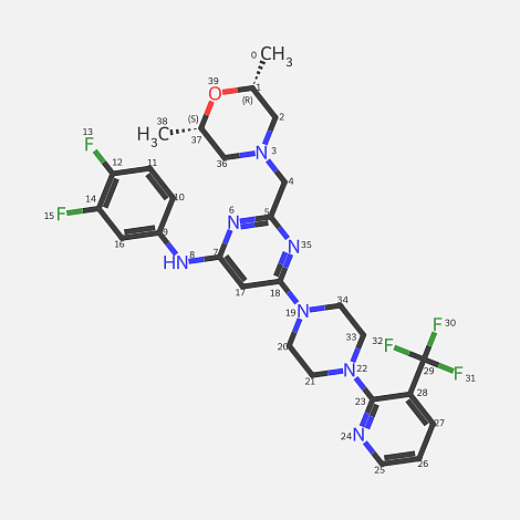 C[C@@H]1CN(Cc2nc(Nc3ccc(F)c(F)c3)cc(N3CCN(c4ncccc4C(F)(F)F)CC3)n2)C[C@H](C)O1